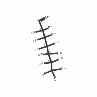 O=[C]C(F)(F)C(F)(F)C(F)(F)C(F)(F)C(F)(F)C(F)(F)F